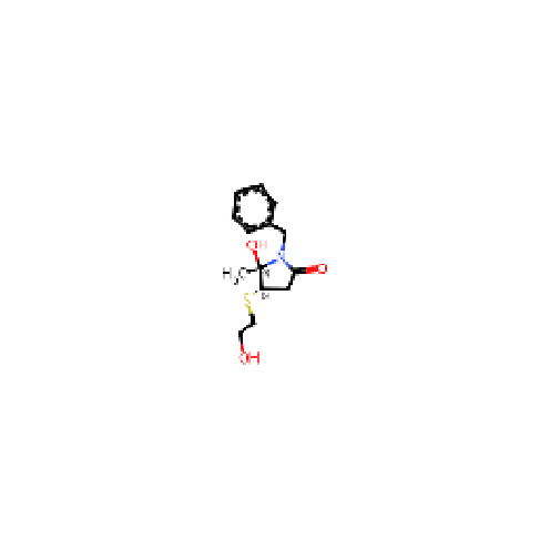 C[C@]1(O)[C@@H](SCCO)CC(=O)N1Cc1ccccc1